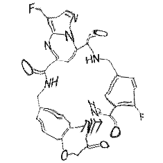 NC(=O)c1cc(CNC(=O)c2cc(C(=O)NCc3ccc4c(c3)NC(=O)CO4)nc3c(F)cnn23)ccc1F